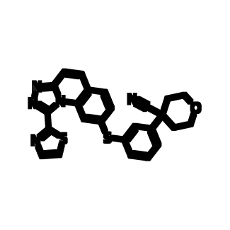 N#CC1(c2cccc(Sc3ccc4ccc5nnc(-c6nccs6)n5c4c3)c2)CCOCC1